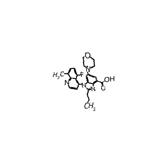 CCCc1nc2c(C(=O)O)cc(N3CCOCC3)cc2n1-c1ccnc2c(C)ccc(F)c12